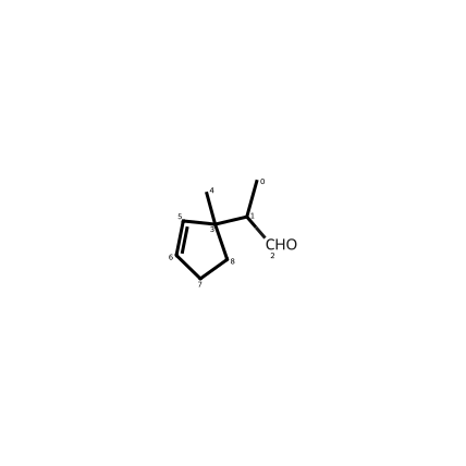 CC(C=O)C1(C)C=CCC1